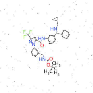 CC(C)(C)OC(=O)NCc1cccc(-n2nc(C(F)(F)F)cc2C(=O)Nc2cccc(C(NCC3CC3)c3ccccc3)c2)c1